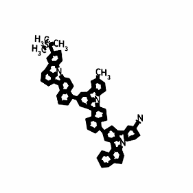 Cc1ccc2c(c1)c1cc(-c3cccc4c3ccc3c4c4cccc5c6cc([Si](C)(C)C)ccc6n3c54)cc3c4c5cccc(-c6cc7c8cc(C#N)ccc8n8c9ccc%10ccccc%10c9c(c6)c78)c5ccc4n2c13